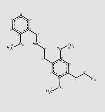 COc1cc(CCNCc2ccccc2OC)c(OC)cc1CCF